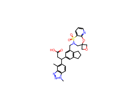 Cc1c(C(CC(=O)O)c2cc3c(c(CN4CC5(COC5)Oc5ncccc5S4(=O)=O)c2)CCC3)ccc2c1nnn2C